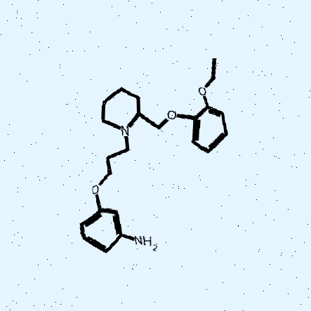 CCOc1ccccc1OCC1CCCCN1CCCOc1cccc(N)c1